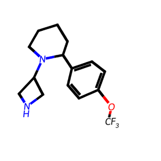 FC(F)(F)Oc1ccc(C2CCCCN2C2CNC2)cc1